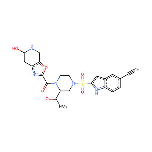 C#Cc1ccc2[nH]c(S(=O)(=O)N3CCN(C(=O)c4nc5c(o4)CNC(O)C5)C(C(=O)NC)C3)cc2c1